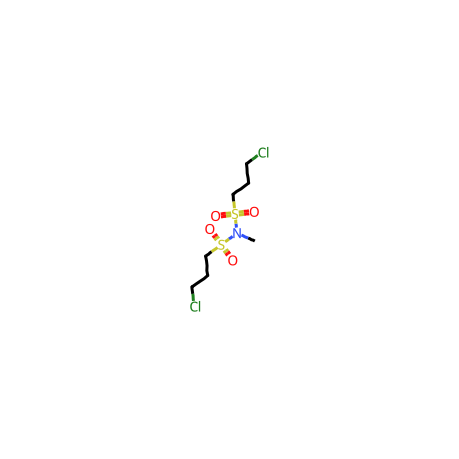 CN(S(=O)(=O)CCCCl)S(=O)(=O)CCCCl